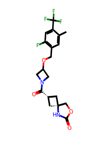 Cc1cc(COC2CN(C(=O)[C@H]3C[C@@]4(COC(=O)N4)C3)C2)c(F)cc1C(F)(F)F